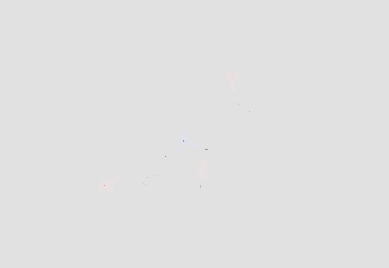 COc1ccc(C(=O)Nc2ccc(O)cc2C(=O)O)cc1O